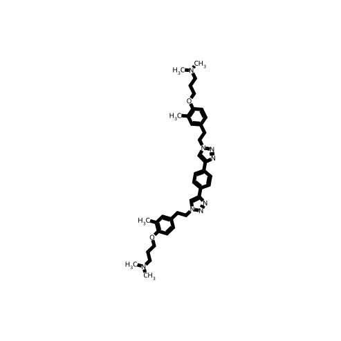 Cc1cc(CCn2cc(-c3ccc(-c4cn(CCc5ccc(OCCCN(C)C)c(C)c5)nn4)cc3)nn2)ccc1OCCCN(C)C